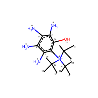 CC(C)(C)[N+](c1c(N)c(N)c(N)c(N)c1O)(C(C)(C)C)C(C)(C)C